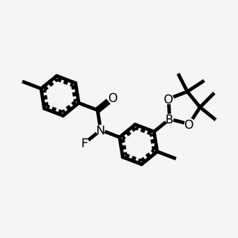 Cc1ccc(C(=O)N(F)c2ccc(C)c(B3OC(C)(C)C(C)(C)O3)c2)cc1